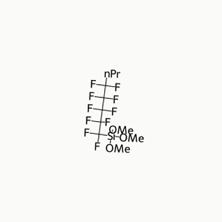 CCCC(F)(F)C(F)(F)C(F)(F)C(F)(F)C(F)(F)[Si](OC)(OC)OC